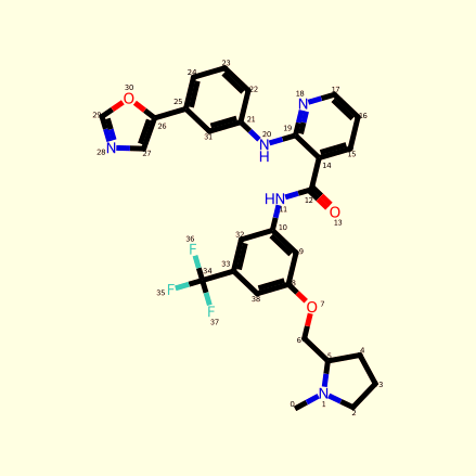 CN1CCCC1COc1cc(NC(=O)c2cccnc2Nc2cccc(-c3cnco3)c2)cc(C(F)(F)F)c1